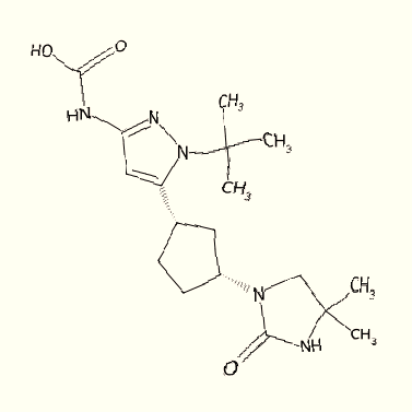 CC1(C)CN([C@@H]2CC[C@H](c3cc(NC(=O)O)nn3C(C)(C)C)C2)C(=O)N1